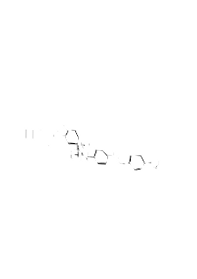 CC(C)c1ccc(S(=O)(=O)Nc2ccc(SCc3ccc(OC(F)(F)F)cc3)cc2)cc1C(=O)O